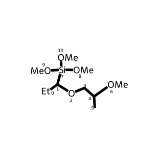 CCC(OCC(C)OC)[Si](OC)(OC)OC